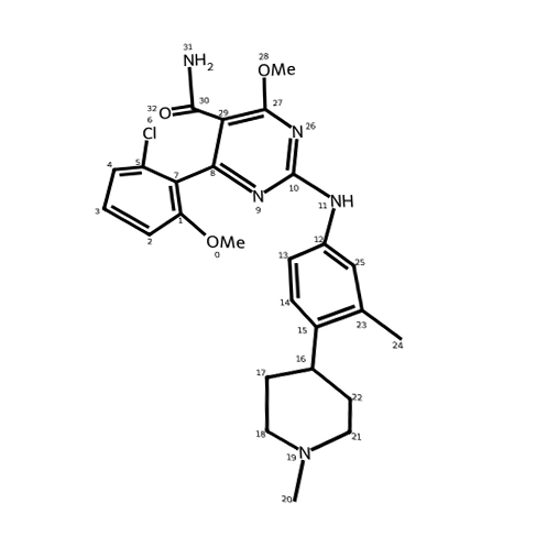 COc1cccc(Cl)c1-c1nc(Nc2ccc(C3CCN(C)CC3)c(C)c2)nc(OC)c1C(N)=O